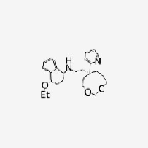 CCO[C@H]1CC[C@H](NCC[C@]2(c3ccccn3)CCCCCOCC2)c2ccccc21